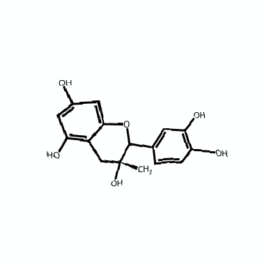 C[C@@]1(O)Cc2c(O)cc(O)cc2OC1c1ccc(O)c(O)c1